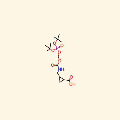 CC(C)(C)OP(=O)(OCOC(=O)NC[C@@H]1C[C@@H]1C(=O)O)OC(C)(C)C